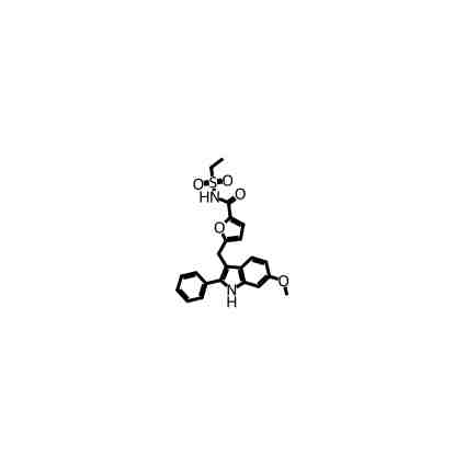 CCS(=O)(=O)NC(=O)c1ccc(Cc2c(-c3ccccc3)[nH]c3cc(OC)ccc23)o1